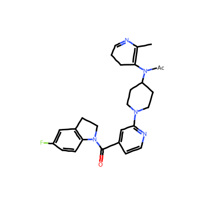 CC(=O)N(C1=C(C)N=CCC1)C1CCN(c2cc(C(=O)N3CCc4cc(F)ccc43)ccn2)CC1